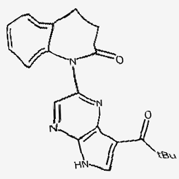 CC(C)(C)C(=O)c1c[nH]c2ncc(N3C(=O)CCc4ccccc43)nc12